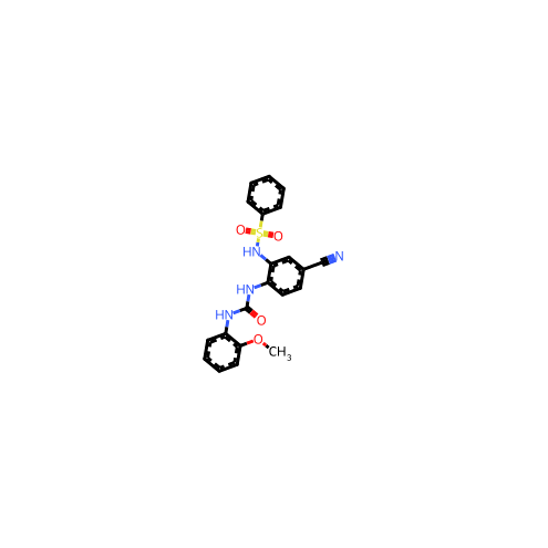 COc1ccccc1NC(=O)Nc1ccc(C#N)cc1NS(=O)(=O)c1ccccc1